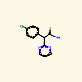 NC(=S)C(c1ccc(Cl)cc1)c1ncccn1